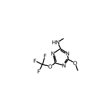 CNc1nc(OC)nc(OC(F)(F)F)n1